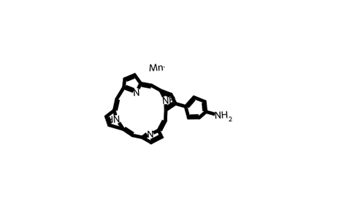 Nc1ccc(-c2cc3cc4nc(cc5ccc(cc6nc(cc2[nH]3)C=C6)[nH]5)C=C4)cc1.[Mn]